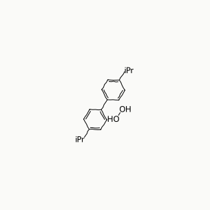 CC(C)c1ccc(-c2ccc(C(C)C)cc2)cc1.OO